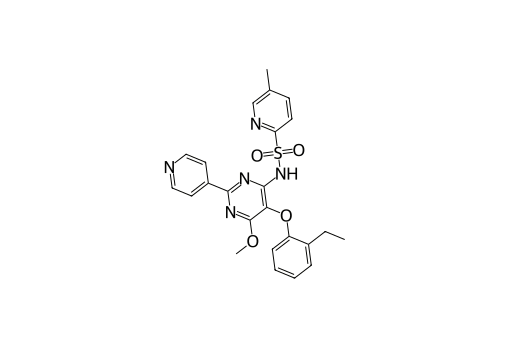 CCc1ccccc1Oc1c(NS(=O)(=O)c2ccc(C)cn2)nc(-c2ccncc2)nc1OC